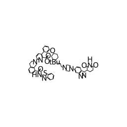 Cn1nc(C2CCC(=O)NC2=O)c2ccc(N3CCN(CCC[C@H]4CC[C@H](Oc5cccc(-c6ccc(N7CCc8cccc(C(=O)Nc9nc%10ccccc%10s9)c8C7)nc6C(=O)OC(C)(C)C)c5)CC4)CC3)cc21